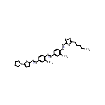 CCCCCc1nnc(/N=N/c2ccc(/N=N/c3ccc(/N=N/c4ccc(N5CCCC5)s4)cc3C)cc2C)s1